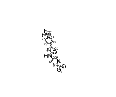 COC(=O)c1ccc(Nc2nc(-c3ccc(C(F)(F)F)cc3)co2)cn1